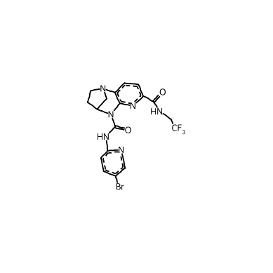 O=C(NCC(F)(F)F)c1ccc2c(n1)N(C(=O)Nc1ccc(Br)cn1)C1CCN2C1